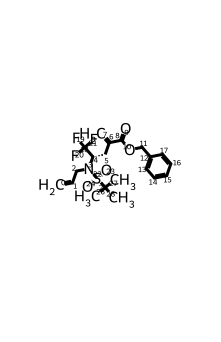 C=CCN([C@@H](CC(=C)C(=O)OCc1ccccc1)C(F)(F)F)S(=O)(=O)C(C)(C)C